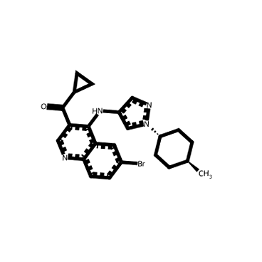 C[C@H]1CC[C@H](n2cc(Nc3c(C(=O)C4CC4)cnc4ccc(Br)cc34)cn2)CC1